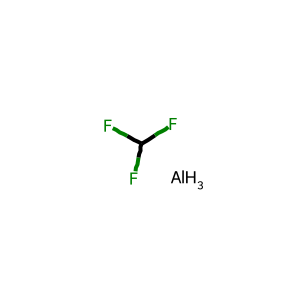 FC(F)F.[AlH3]